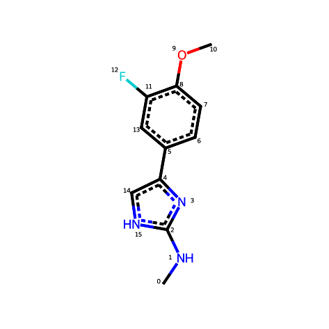 CNc1nc(-c2ccc(OC)c(F)c2)c[nH]1